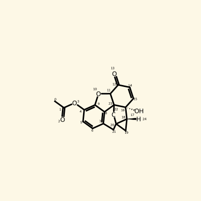 CC(=O)Oc1ccc2c3c1OC1C(=O)C=C[C@@]4(O)[C@@H]5CC5(C2)CC314